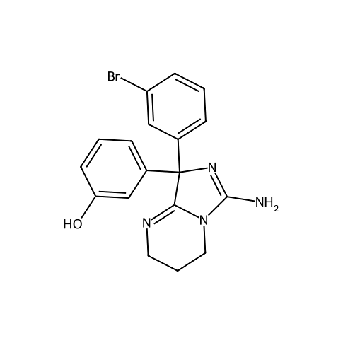 NC1=NC(c2cccc(O)c2)(c2cccc(Br)c2)C2=NCCCN12